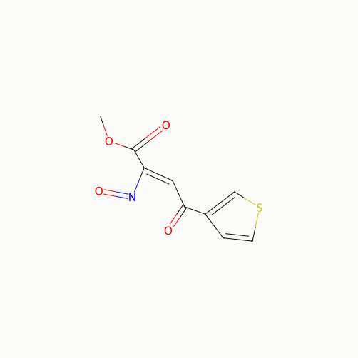 COC(=O)/C(=C/C(=O)c1ccsc1)N=O